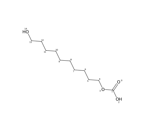 O=C(O)OCCCCCCCCCCO